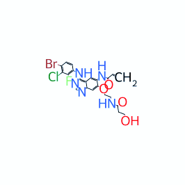 C=CC(=O)Nc1cc2c(Nc3ccc(Br)c(Cl)c3F)ncnc2cc1OCCNC(=O)CCO